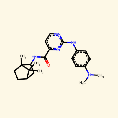 CN(C)c1ccc(Nc2nccc(C(=O)NC3CC4CCC3(C)C4(C)C)n2)cc1